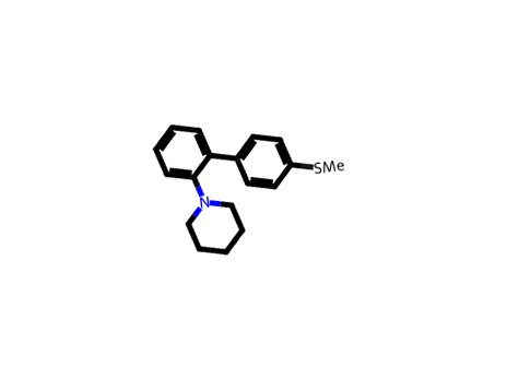 CSc1ccc(-c2ccccc2N2CCCCC2)cc1